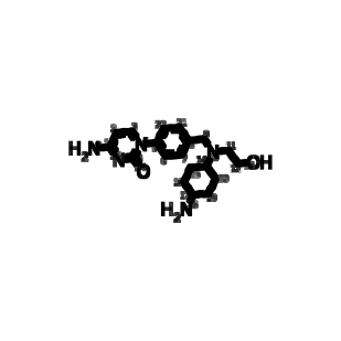 Nc1ccn(-c2ccc(CN(CCO)C3CCC(N)CC3)cc2)c(=O)n1